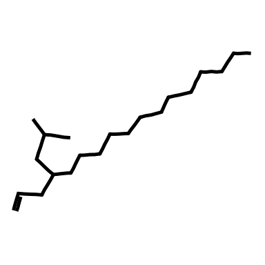 C=CCC(CCCCCCCCCCCCC)CC(C)C